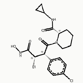 CC[C@H](C(=O)NO)[C@H](C(=O)N1CCCC[C@H]1C(=O)NC1CC1)c1ccc(Cl)cc1